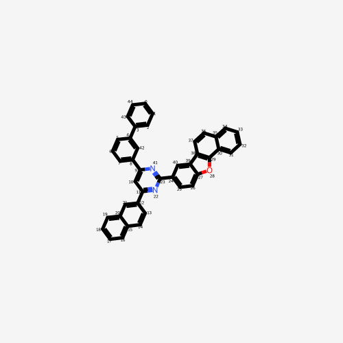 c1ccc(-c2cccc(-c3cc(-c4ccc5ccccc5c4)nc(-c4ccc5oc6c7ccccc7ccc6c5c4)n3)c2)cc1